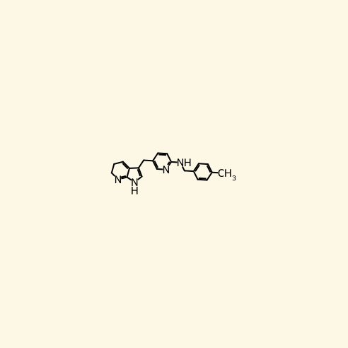 Cc1ccc(CNc2ccc(Cc3c[nH]c4c3=CCCN=4)cn2)cc1